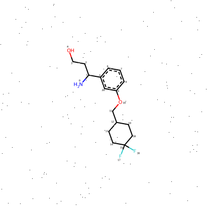 NC(CCO)c1cccc(OCC2CCC(F)(F)CC2)c1